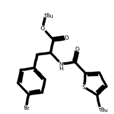 CC(C)(C)OC(=O)C(Cc1ccc(Br)cc1)NC(=O)c1ccc(C(C)(C)C)s1